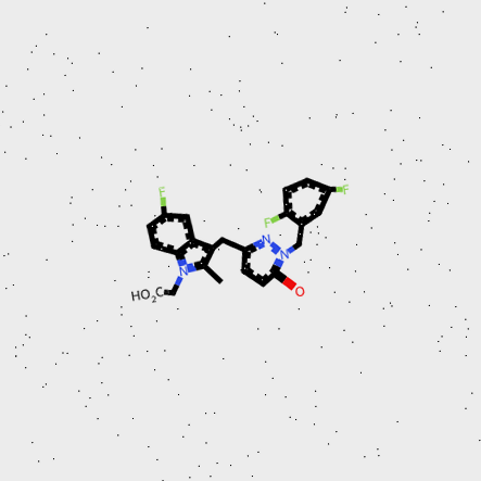 Cc1c(Cc2ccc(=O)n(Cc3cc(F)ccc3F)n2)c2cc(F)ccc2n1CC(=O)O